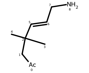 CC(=O)CC(C)(C)C=CCN